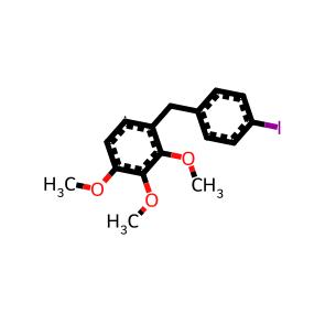 COc1c[c]c(Cc2ccc(I)cc2)c(OC)c1OC